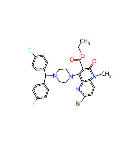 CCOC(=O)c1c(N2CCN(C(c3ccc(F)cc3)c3ccc(F)cc3)CC2)c2nc(Br)ccc2n(C)c1=O